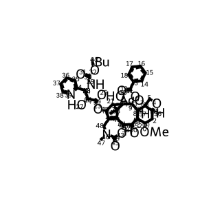 CO[C@H]1C[C@H]2OC[C@@]2(OC(C)=O)[C@H]2[C@H](OC(=O)c3ccccc3)[C@]3(O)C[C@H](OC(=O)[C@H](O)[C@@H](NC(=O)OC(C)(C)C)c4ccccn4)C4=C([C@@H](OC(=O)N(C)C4)C(=O)[C@]12C)C3(C)C